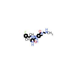 CNCCN1Cc2cc3[nH]c(-c4c(NC(C)Cc5cc(F)ccc5C)cc[nH]c4=O)nc3cc2C1=O